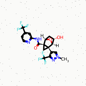 Cn1cc([C@@]23C[C@]2(C(=O)Nc2cc(C(F)(F)F)ccn2)[C@H]2C[C@H](O)[C@@H]3O2)c(C(F)(F)F)n1